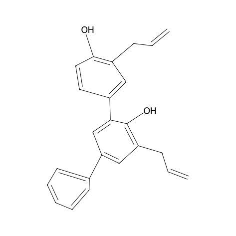 C=CCc1cc(-c2cc(-c3ccccc3)cc(CC=C)c2O)ccc1O